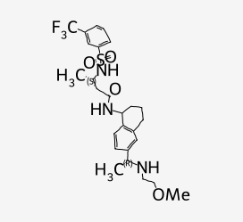 COCCN[C@H](C)c1ccc2c(c1)CCCC2NC(=O)C[C@H](C)NS(=O)(=O)c1cccc(C(F)(F)F)c1